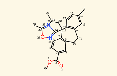 COC(=O)c1ccc2c(c1)CCc1cc(C)ccc1C2(CC(C)C)c1noc(C)n1